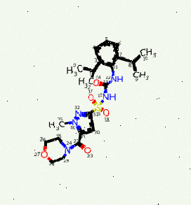 CC(C)c1cccc(C(C)C)c1NC(=O)NS(=O)(=O)c1cc(C(=O)N2CCOCC2)n(C)n1